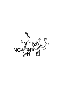 C#CCN(C)c1c(C#N)cnn1-c1nn2c(c1Cl)CCCC2